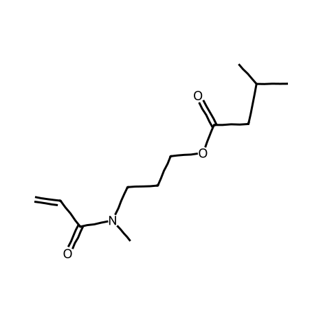 C=CC(=O)N(C)CCCOC(=O)CC(C)C